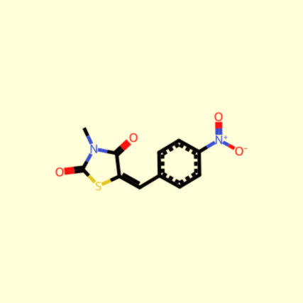 CN1C(=O)SC(=Cc2ccc([N+](=O)[O-])cc2)C1=O